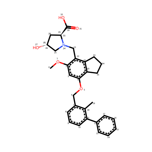 COc1cc(OCc2cccc(-c3ccccc3)c2C)c2c(c1CN1C[C@H](O)C[C@H]1C(=O)O)CCC2